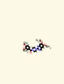 COc1ccc(C(=O)N2CCN(c3ncc4cc(OC)c(OC)cc4n3)CC2)cc1OC